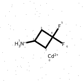 [Cd+2].[NH3+]C1CC(F)(F)C1